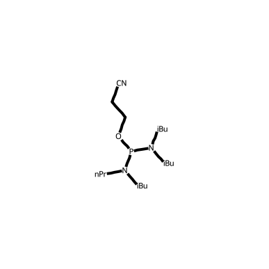 CCCN(C(C)CC)P(OCCC#N)N(C(C)CC)C(C)CC